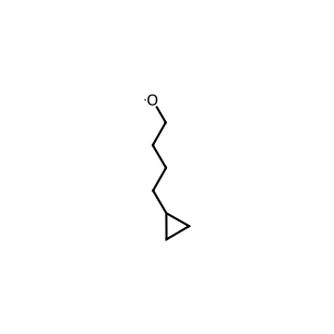 [O]CCCCC1CC1